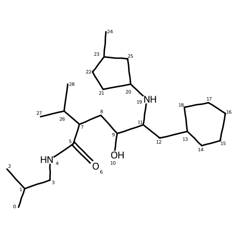 CC(C)CNC(=O)C(CC(O)C(CC1CCCCC1)NC1CCC(C)C1)C(C)C